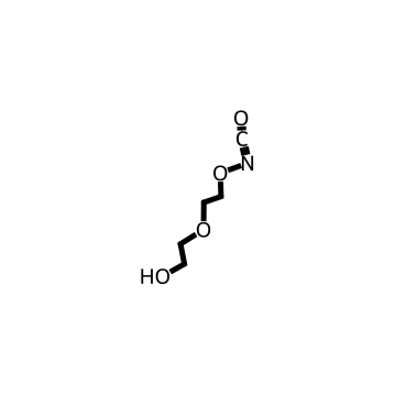 O=C=NOCCOCCO